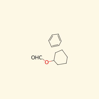 O=COC1CCCCC1.c1ccccc1